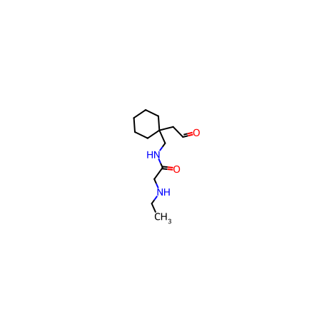 CCNCC(=O)NCC1(CC=O)CCCCC1